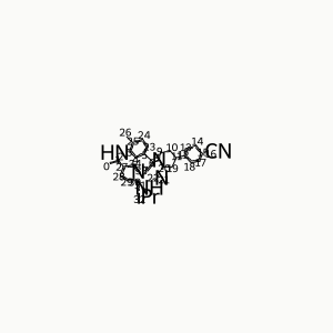 C=C(Nc1cc(C(=C)N2CCC(c3ccc(C#N)cc3)C/C2=N/C)ccc1C)c1ccc(NC(C)C)nc1